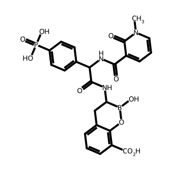 Cn1cccc(C(=O)NC(C(=O)NC2Cc3cccc(C(=O)O)c3OB2O)c2ccc(P(=O)(O)O)cc2)c1=O